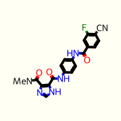 CNC(=O)c1nc[nH]c1C(=O)Nc1ccc(NC(=O)c2ccc(C#N)c(F)c2)cc1